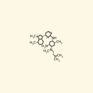 Cc1cc(N(C)CCN(C)C)c(N)cc1Nc1nccc(-c2cn(C)c3c(C)cccc23)n1